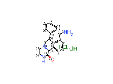 Cl.Cl.NCc1cccc2c1C(c1ccccc1)CN1CCNC(=O)C21